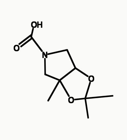 CC1(C)OC2CN(C(=O)O)CC2(C)O1